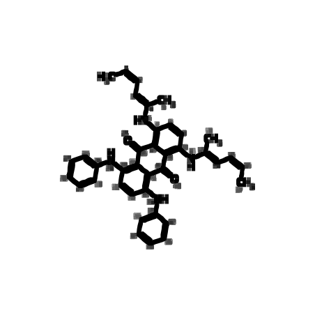 C/C=C\C=C(/C)Nc1ccc(N/C(C)=C/C=C\C)c2c1C(=O)c1c(Nc3ccccc3)ccc(Nc3ccccc3)c1C2=O